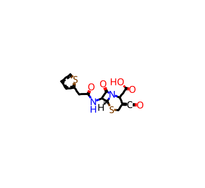 O=C=C1CS[C@@H]2C(NC(=O)Cc3cccs3)C(=O)N2C1C(=O)O